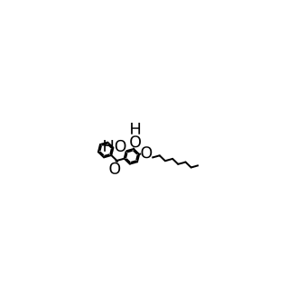 CCCCCCCCOc1ccc(C(=O)c2ccccc2)c(O)c1O